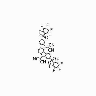 N#CC(C#N)=C1c2cc(S(=O)(=O)c3c(F)c(F)c(F)c(F)c3F)ccc2-c2c1ccc1c2C(=C(C#N)C#N)c2cc(S(=O)(=O)c3c(F)c(F)c(F)c(F)c3F)ccc2-1